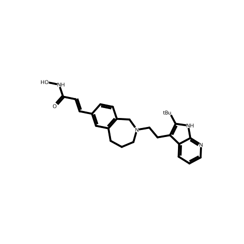 CC(C)(C)c1[nH]c2ncccc2c1CCN1CCCc2cc(C=CC(=O)NO)ccc2C1